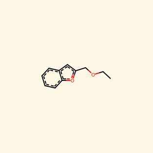 CCOCc1cc2ccccc2o1